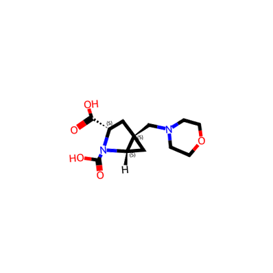 O=C(O)[C@@H]1C[C@]2(CN3CCOCC3)C[C@@H]2N1C(=O)O